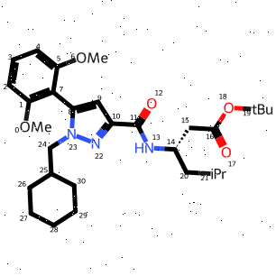 COc1cccc(OC)c1-c1cc(C(=O)N[C@H](CC(=O)OC(C)(C)C)CC(C)C)nn1CC1CCCCC1